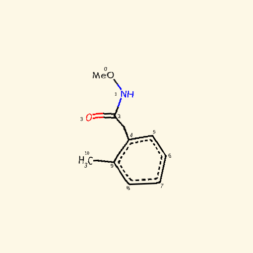 CONC(=O)c1ccccc1C